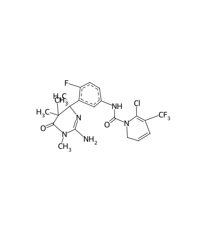 CN1C(=O)C(C)(C)[C@@](C)(c2cc(NC(=O)N3CC=CC(C(F)(F)F)=C3Cl)ccc2F)N=C1N